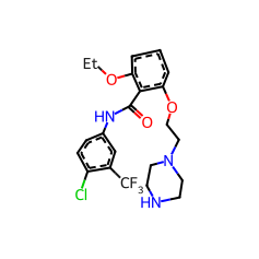 CCOc1cccc(OCCN2CCNCC2)c1C(=O)Nc1ccc(Cl)c(C(F)(F)F)c1